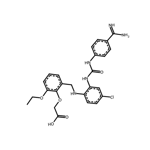 CCOc1cccc(CNc2ccc(Cl)cc2NC(=O)Nc2ccc(C(=N)N)cc2)c1OCC(=O)O